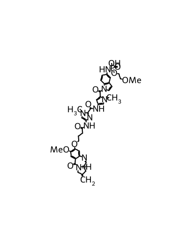 C=C1C[C@H]2C=Nc3cc(OCCCC(=O)Nc4cn(C)c(C(=O)Nc5cc(C(=O)n6ccc7cc(NP(=O)(O)OCCOC)ccc76)n(C)c5)n4)c(OC)cc3C(=O)N2C1